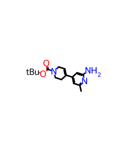 Cc1cc(C2=CCN(C(=O)OC(C)(C)C)CC2)cc(N)n1